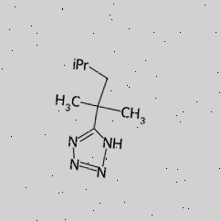 CC(C)CC(C)(C)c1nnn[nH]1